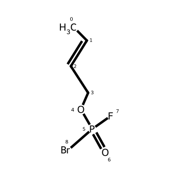 CC=CCOP(=O)(F)Br